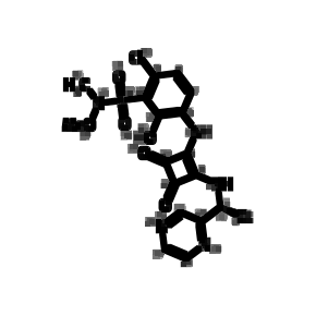 CC[C@H](Nc1c(Nc2ccc(Cl)c(S(=O)(=O)N(C)OC)c2O)c(=O)c1=O)c1cnccn1